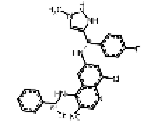 CC[C@@H](Nc1c(C#N)cnc2c(Cl)cc(N[C@H](C3=CN(C)NN3)c3ccc(F)cc3)cc12)c1ccccc1